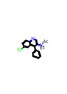 CCN(C(C)=O)c1cnc2ccc(Cl)cc2c1-c1ccccc1